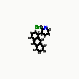 Brc1ncccc1-c1cccc2cc3ccccc3cc12